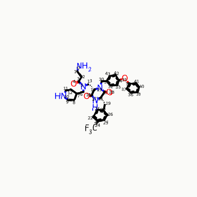 NCCC(=O)N(CC1CCNCC1)C[C@H]1C(=O)N[C@@H](Cc2ccc(C(F)(F)F)cc2)C(=O)N1Cc1ccc(Oc2ccccc2)cc1